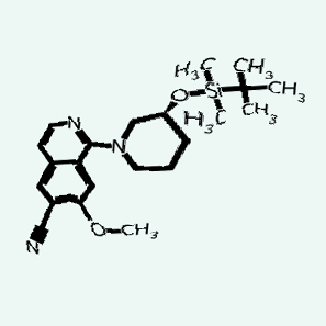 COc1cc2c(N3CCC[C@H](O[Si](C)(C)C(C)(C)C)C3)nccc2cc1C#N